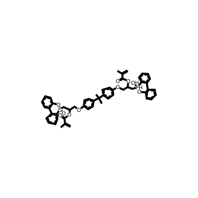 C=C(C)C(=O)OC(COc1ccc(C(C)(C)c2ccc(OCC(C[PH]3(O)Oc4ccccc4-c4ccccc43)OC(=O)C(=C)C)cc2)cc1)CP1(=O)Oc2ccccc2-c2ccccc21